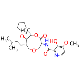 COc1ccnc(C(=O)N[C@H]2COC[C@H](CCC(C)C)[C@@H](OC3CCCC3)[C@H](C)OC2=O)c1O